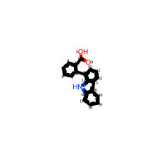 O=C(O)c1ccccc1-c1cccc2c1[nH]c1ccccc12